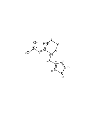 O=[N+]([O-])C=C1NCCCN1Cc1cnsn1